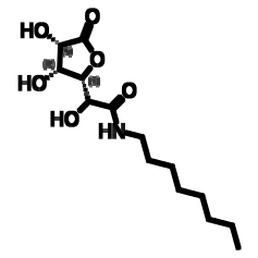 CCCCCCCCNC(=O)C(O)[C@H]1OC(=O)[C@@H](O)[C@H]1O